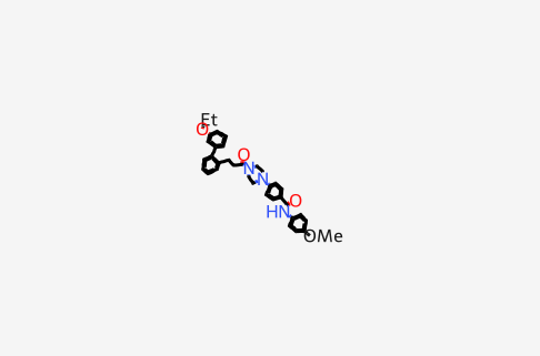 CCOc1cccc(-c2ccccc2CCC(=O)N2CCN(c3ccc(C(=O)Nc4ccc(OC)cc4)cc3)CC2)c1